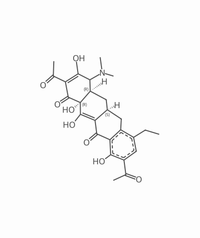 CCc1cc(C(C)=O)c(O)c2c1C[C@@H]1C[C@@H]3C(N(C)C)C(O)=C(C(C)=O)C(=O)[C@]3(O)C(O)=C1C2=O